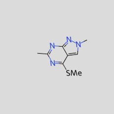 CSc1nc(C)nc2nn(C)cc12